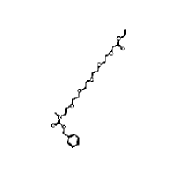 CCOC(=O)COCCOCCOCCOCCOCCN(C)C(=O)OCc1ccccc1